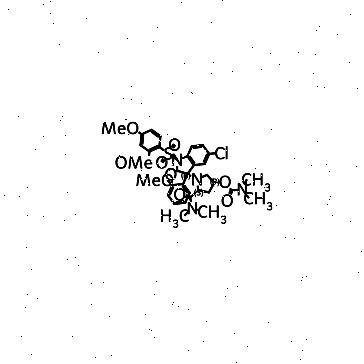 COc1ccc(S(=O)(=O)N2C(=O)[C@@](c3ccccc3OC)(N3C[C@H](OC(=O)N(C)C)C[C@H]3C(=O)N(C)C)c3cc(Cl)ccc32)c(OC)c1